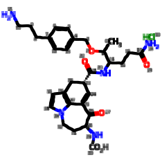 CC(OCc1ccc(CCCN)cc1)C(CCC(N)=O)NC(=O)[C@@H]1C=C2C(=O)[C@@H](NC(=O)O)CCn3ccc(c32)C1.Cl